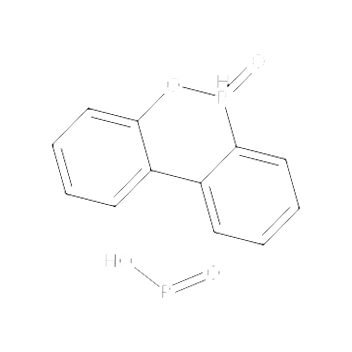 O=PO.O=[PH]1Oc2ccccc2-c2ccccc21